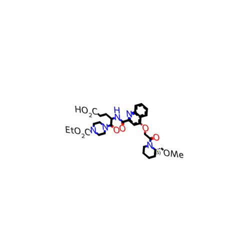 CCOC(=O)N1CCN(C(=O)C(CCC(=O)O)NC(=O)c2cc(OCC(=O)N3CCCC[C@H]3COC)c3ccccc3n2)CC1